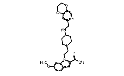 COc1ccc2cc(C(=O)O)n(CCN3CCC(NCc4cc5c(cn4)OCCO5)CC3)c2c1